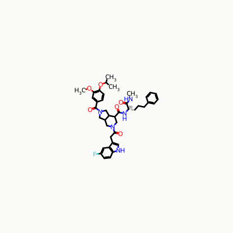 CNC(=O)[C@H](CCCc1ccccc1)NC(=O)C1CN(C(=O)Cc2c[nH]c3ccc(F)cc23)CC2CN(C(=O)c3ccc(OC(C)C)c(OC)c3)CC21